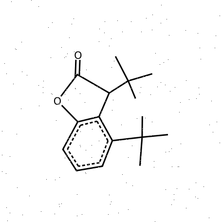 CC(C)(C)c1cccc2c1C(C(C)(C)C)C(=O)O2